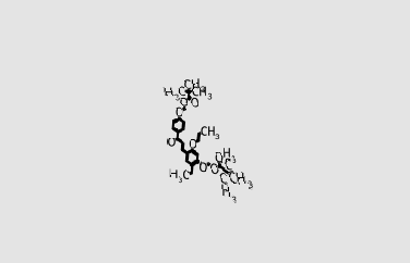 CCCOc1cc(OCOC(=O)C(C)(C)C)c(CC)cc1C=CC(=O)c1ccc(OCOC(=O)C(C)(C)C)cc1